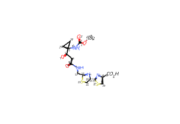 CC(C)(C)OC(=O)NC1(C(=O)CC(=O)NCC2=N[C@H](c3nc(C(=O)O)cs3)CS2)CC1